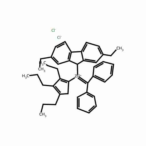 CCCC1=C(CCC)C(CCC)=[C]([Zr+2](=[C](c2ccccc2)c2ccccc2)[CH]2c3cc(CC)ccc3-c3ccc(CC)cc32)C1.[Cl-].[Cl-]